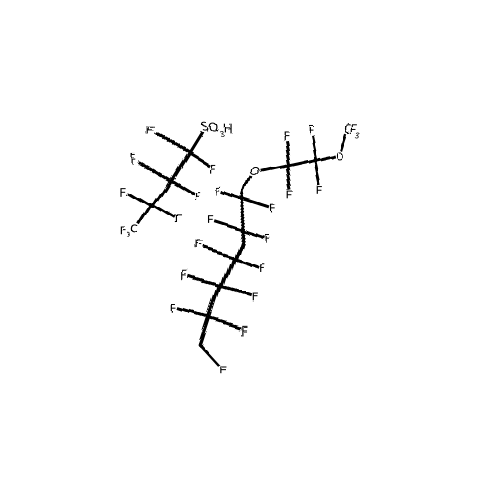 FCC(F)(F)C(F)(F)C(F)(F)C(F)(F)C(F)(F)OC(F)(F)C(F)(F)OC(F)(F)F.O=S(=O)(O)C(F)(F)C(F)(F)C(F)(F)C(F)(F)F